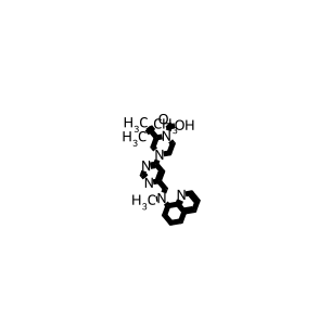 CN(Cc1cc(N2CCN(C(=O)O)C(C(C)(C)C)C2)ncn1)C1CCCc2cccnc21